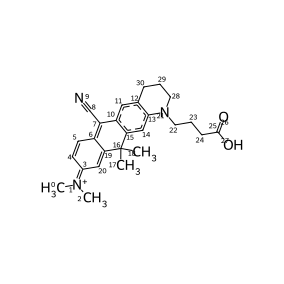 C[N+](C)=C1C=CC2=C(C#N)c3cc4c(cc3C(C)(C)C2=C1)N(CCCC(=O)O)CCC4